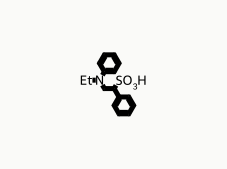 CCN(CC(c1ccccc1)S(=O)(=O)O)c1ccccc1